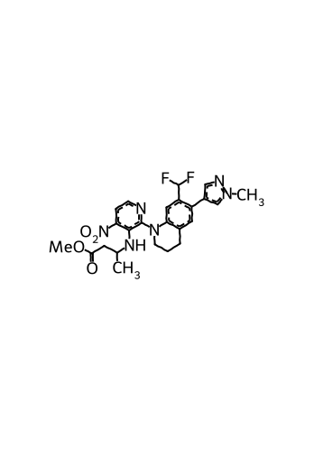 COC(=O)CC(C)Nc1c([N+](=O)[O-])ccnc1N1CCCc2cc(-c3cnn(C)c3)c(C(F)F)cc21